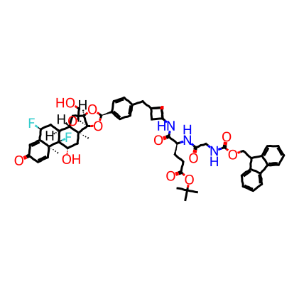 CC(C)(C)OC(=O)CC[C@H](NC(=O)CNC(=O)OCC1c2ccccc2-c2ccccc21)C(=O)NC12CC(Cc3ccc([C@@H]4O[C@@H]5C[C@H]6[C@@H]7C[C@H](F)C8=CC(=O)C=C[C@]8(C)[C@@]7(F)[C@@H](O)C[C@]6(C)[C@]5(C(=O)CO)O4)cc3)(C1)C2